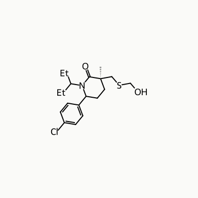 CCC(CC)N1C(=O)[C@@](C)(CSCO)CCC1c1ccc(Cl)cc1